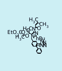 CCCCc1nc(N(C)C(=O)C=C(C)C)c(C(=O)OC(C)OC(=O)OCC)n1Cc1ccc(-c2ccccc2)c(-c2nnn[nH]2)c1